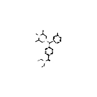 CCN(CC)C(=O)c1ccc(C(c2cccc(O)c2)N2CC(C)N(C)C(C)C2)cc1